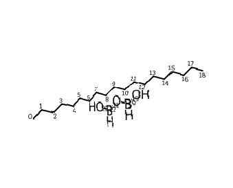 CCCCCCCCCCCCCCCCCCC.OBOBO